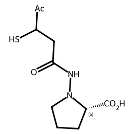 CC(=O)C(S)CC(=O)NN1CCC[C@H]1C(=O)O